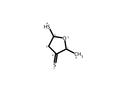 CC1OC(S)CC1=S